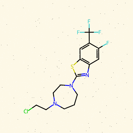 Fc1cc2nc(N3CCCN(CCCl)CC3)sc2cc1C(F)(F)F